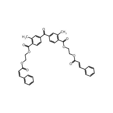 Cc1cc(C(=O)c2ccc(C(=O)OCCOC(=O)/C=C/c3ccccc3)c(C)c2)ccc1C(=O)OCCOC(=O)/C=C\c1ccccc1